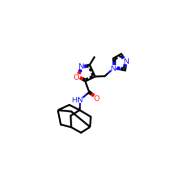 Cc1noc(C(=O)NC23CC4CC(CC(C4)C2)C3)c1Cn1ccnc1